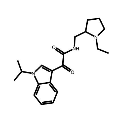 CCN1CCCC1CNC(=O)C(=O)c1cn(C(C)C)c2ccccc12